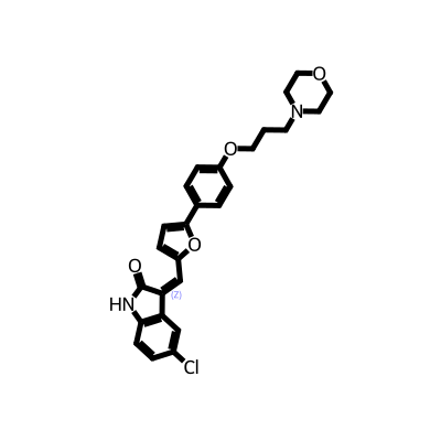 O=C1Nc2ccc(Cl)cc2/C1=C/c1ccc(-c2ccc(OCCCN3CCOCC3)cc2)o1